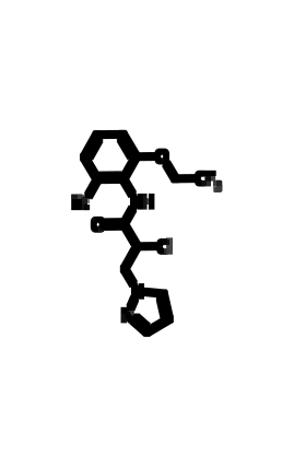 CCc1cccc(OCC(F)(F)F)c1NC(=O)C(Cl)Cn1cccn1